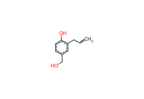 C=CCc1cc(CO)ccc1O